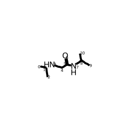 CC(C)NCC(=O)NC(C)C